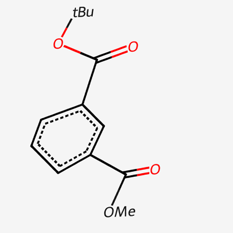 COC(=O)c1cccc(C(=O)OC(C)(C)C)c1